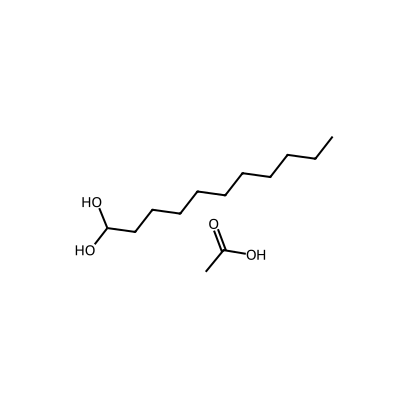 CC(=O)O.CCCCCCCCCCC(O)O